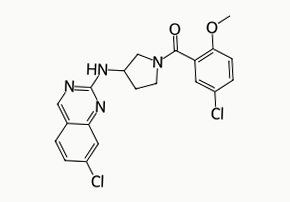 COc1ccc(Cl)cc1C(=O)N1CCC(Nc2ncc3ccc(Cl)cc3n2)C1